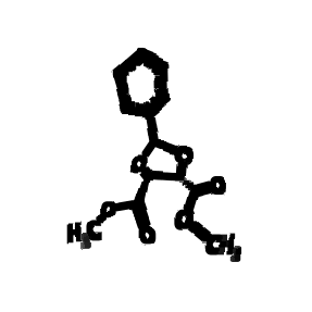 COC(=O)[C@H]1OC(c2ccccc2)O[C@@H]1C(=O)OC